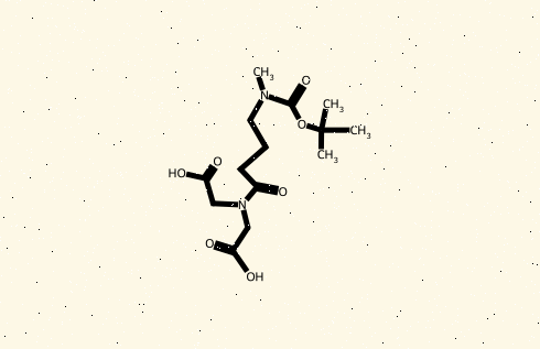 CN(CCCC(=O)N(CC(=O)O)CC(=O)O)C(=O)OC(C)(C)C